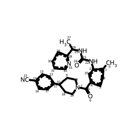 Cc1ccc(C(=O)N2CCC(c3ccc(C#N)cc3)CC2)cc1NC(=O)NC(C)c1ccccn1